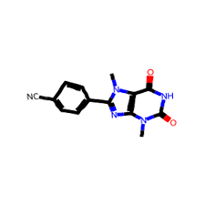 Cn1c(-c2ccc(C#N)cc2)nc2c1c(=O)[nH]c(=O)n2C